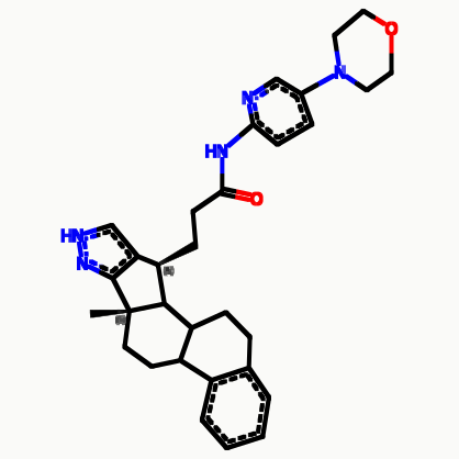 C[C@]12CCC3c4ccccc4CCC3C1[C@H](CCC(=O)Nc1ccc(N3CCOCC3)cn1)c1c[nH]nc12